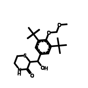 COCOc1c(C(C)(C)C)cc(C(O)C2SCCNC2=O)cc1C(C)(C)C